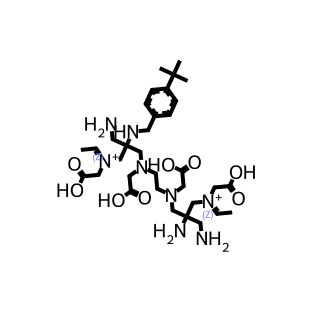 C/C=[N+](\CC(=O)O)CC(N)(CN)CN(CCN(CC(=O)O)CC(CN)(C/[N+](=C/C)CC(=O)O)NCc1ccc(C(C)(C)C)cc1)CC(=O)O